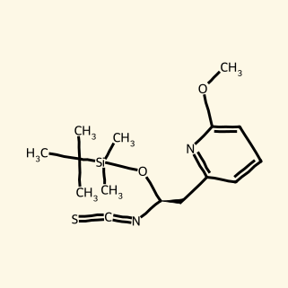 COc1cccc(C[C@@H](N=C=S)O[Si](C)(C)C(C)(C)C)n1